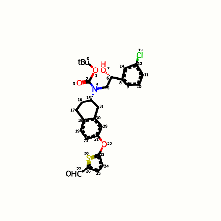 CC(C)(C)OC(=O)N(C[C@H](O)c1cccc(Cl)c1)[C@H]1CCc2ccc(Oc3ccc(C=O)s3)cc2C1